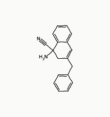 N#CC1(N)CC(Cc2ccccc2)=Cc2ccccc21